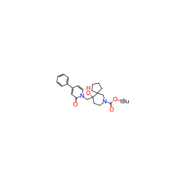 CC(C)(C)OC(=O)N1CCC(O)(Cn2ccc(-c3ccccc3)cc2=O)C2(CCCC2)C1